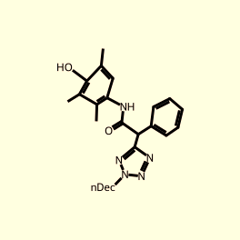 CCCCCCCCCCn1nnc(C(C(=O)Nc2cc(C)c(O)c(C)c2C)c2ccccc2)n1